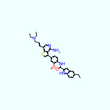 CCc1ccc2[nH]c(C(=O)Nc3ccc(-c4csc5c(/C=C/CN(CC)CC)cnc(N)c45)cc3OC)cc2c1